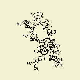 CCCC(C)C(=O)Oc1ccc(C(=O)N[C@@H](CCNNC(=O)OC(C)(C)C)C(=O)N[C@H](C(=O)N[C@@H](CCNC(=O)OC(C)(C)C)C(=O)N[C@H]2CCNC(=O)[C@H](C(C)O)NC(=O)[C@H](CCNC(=O)OC(C)(C)C)NC(=O)[C@H](CCNC(=O)OC(C)(C)C)NC(=O)[C@H](CC(C)C)NC(=O)[C@@H](Cc3ccccc3)NC(=O)[C@H](CCNC(=O)OC(C)(C)C)NC2)C(C)O)cc1